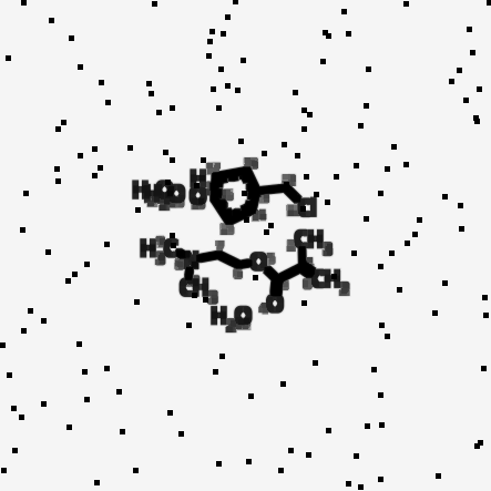 C=C(C)C(=O)OCCN(C)C.ClCc1ccccc1.O.O.O.O